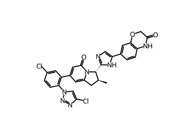 C[C@H]1Cc2cc(-c3cc(Cl)ccc3-n3cc(Cl)nn3)cc(=O)n2[C@@H]1c1ncc(-c2ccc3c(c2)OCC(=O)N3)[nH]1